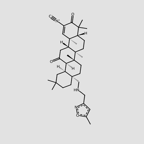 [C-]#[N+]C1=C[C@]2(C)[C@H]3CC(=O)[C@@H]4[C@@H]5CC(C)(C)CC[C@]5(CNCc5cc(C)on5)CC[C@@]4(C)[C@]3(C)CC[C@H]2C(C)(C)C1=O